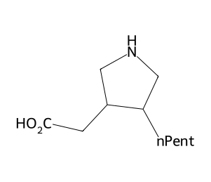 CCCCCC1CNCC1CC(=O)O